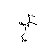 CC(N)[PH](=O)OCO